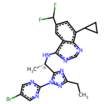 CCc1nc([C@H](C)Nc2ncnc3c(C4CC4)cc(C(F)F)cc23)n(-c2ncc(Br)cn2)n1